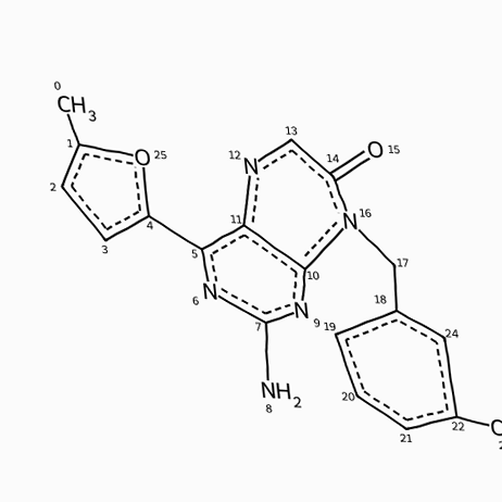 Cc1ccc(-c2nc(N)nc3c2ncc(=O)n3Cc2cccc(C#N)c2)o1